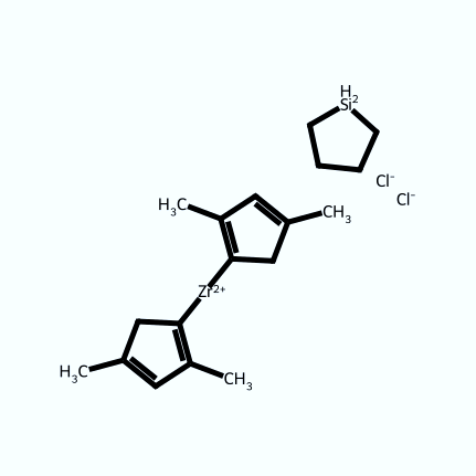 C1CC[SiH2]C1.CC1=CC(C)=[C]([Zr+2][C]2=C(C)C=C(C)C2)C1.[Cl-].[Cl-]